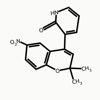 CC1(C)C=C(c2ccc[nH]c2=O)c2cc([N+](=O)[O-])ccc2O1